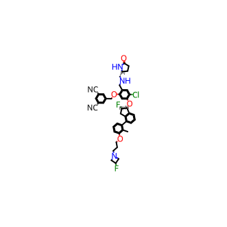 Cc1c(OCCCN2CC(F)C2)cccc1-c1cccc2c1C[C@@H](F)[C@@H]2Oc1cc(OCc2cc(C#N)cc(C#N)c2)c(CNC[C@H]2CCC(=O)N2)cc1Cl